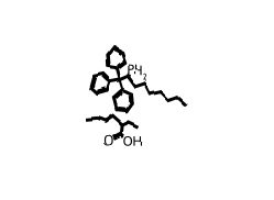 CCCCC(CC)C(=O)O.CCCCCCCC(P)C(c1ccccc1)(c1ccccc1)c1ccccc1